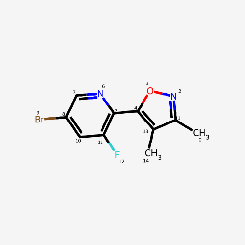 Cc1noc(-c2ncc(Br)cc2F)c1C